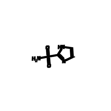 NS(=O)(=O)c1n[c]c[nH]1